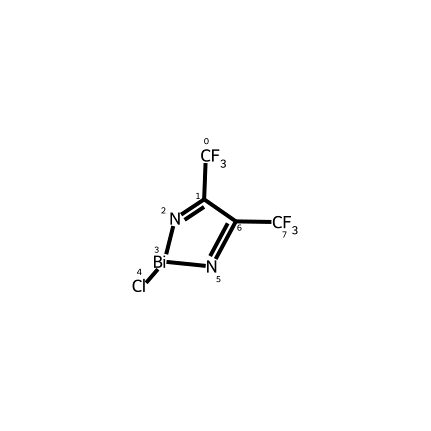 FC(F)(F)C1=[N][Bi]([Cl])[N]=C1C(F)(F)F